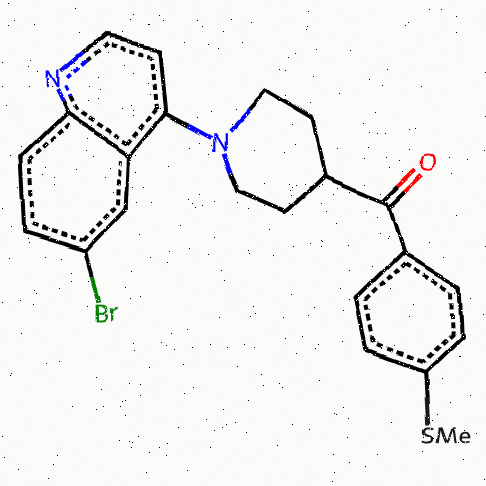 CSc1ccc(C(=O)C2CCN(c3ccnc4ccc(Br)cc34)CC2)cc1